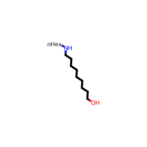 CCCCCCNCCCCCCCCCO